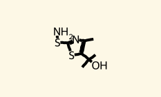 Cc1nc(SN)sc1C(C)(C)O